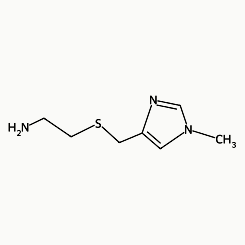 Cn1cnc(CSCCN)c1